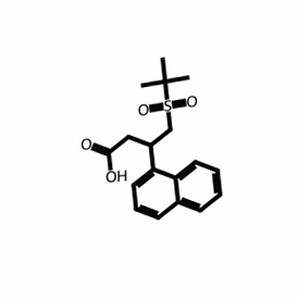 CC(C)(C)S(=O)(=O)CC(CC(=O)O)c1cccc2ccccc12